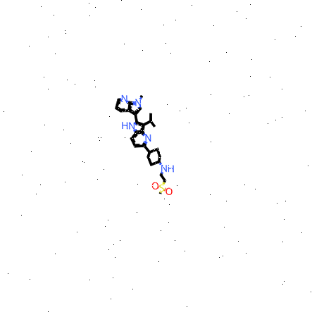 CC(C)c1c(-c2cn(C)c3ncccc23)[nH]c2ccc(C3CCC(NCCS(C)(=O)=O)CC3)nc12